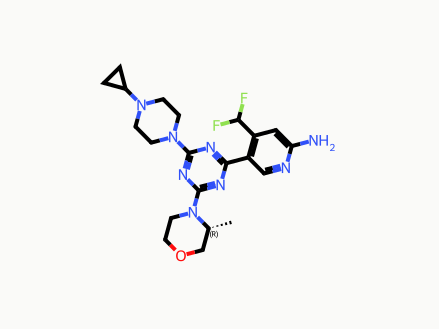 C[C@@H]1COCCN1c1nc(-c2cnc(N)cc2C(F)F)nc(N2CCN(C3CC3)CC2)n1